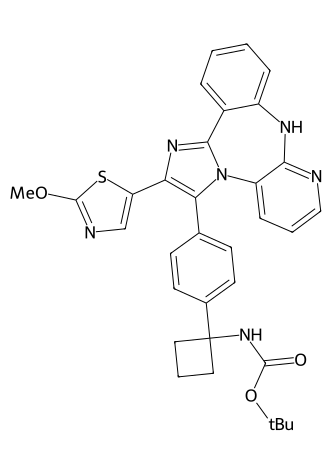 COc1ncc(-c2nc3n(c2-c2ccc(C4(NC(=O)OC(C)(C)C)CCC4)cc2)-c2cccnc2Nc2ccccc2-3)s1